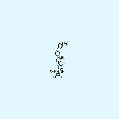 CC[C@H]1CN(c2ncc(Nc3c(NC4CC4)c(=O)c3=O)cc2Cl)CCN1C1CCN(Cc2ccc(OC(F)F)cc2)CC1